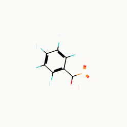 O=P(=O)C(O)c1c(F)c(F)c(F)c(F)c1F